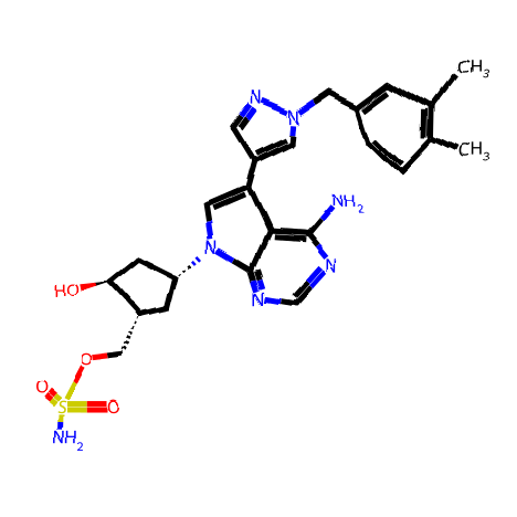 Cc1ccc(Cn2cc(-c3cn([C@@H]4C[C@H](COS(N)(=O)=O)[C@@H](O)C4)c4ncnc(N)c34)cn2)cc1C